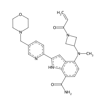 C=CC(=O)N1CC(N(C)c2ccc(C(N)=O)c3[nH]c(-c4ccc(CN5CCOCC5)cn4)cc23)C1